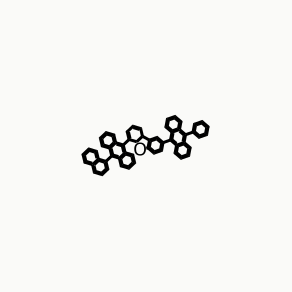 C1=CC2c3cc(-c4c5ccccc5c(-c5ccccc5)c5ccccc45)ccc3OC2C(c2c3ccccc3c(-c3cccc4ccccc34)c3ccccc23)=C1